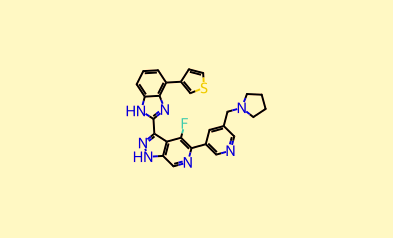 Fc1c(-c2cncc(CN3CCCC3)c2)ncc2[nH]nc(-c3nc4c(-c5ccsc5)cccc4[nH]3)c12